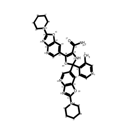 Cc1cnccc1C1(c2cnc3nc(N4CCCCC4)oc3c2)NC(C(N)=O)=C(c2cnc3nc(N4CCCCC4)oc3c2)O1